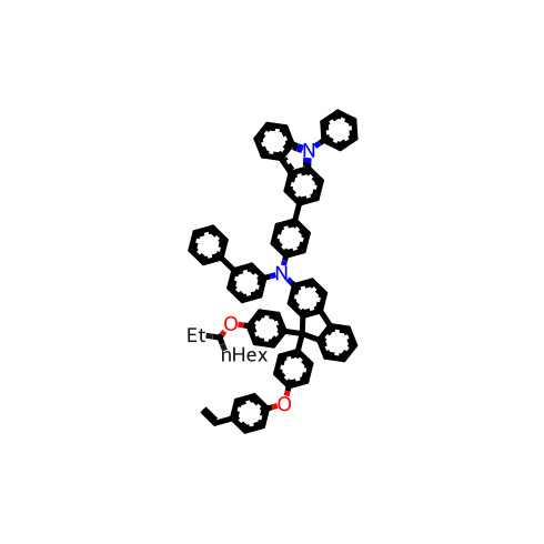 C=Cc1ccc(Oc2ccc(C3(c4ccc(OC(CC)CCCCCC)cc4)c4ccccc4-c4ccc(N(c5ccc(-c6ccc7c(c6)c6ccccc6n7-c6ccccc6)cc5)c5cccc(-c6ccccc6)c5)cc43)cc2)cc1